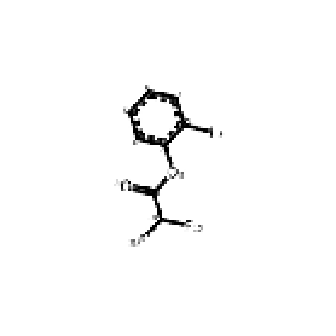 O=C(Oc1ccccc1I)C(F)F